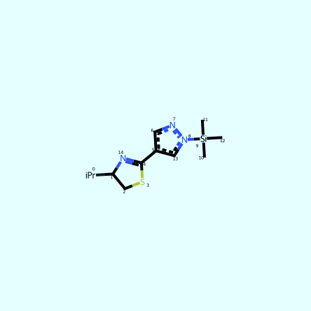 CC(C)C1CSC(c2cnn([Si](C)(C)C)c2)=N1